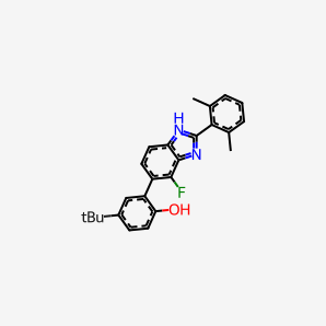 Cc1cccc(C)c1-c1nc2c(F)c(-c3cc(C(C)(C)C)ccc3O)ccc2[nH]1